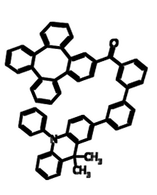 CC1(C)c2ccccc2N(c2ccccc2)c2ccc(-c3cccc(-c4cccc(C(=O)c5ccc6c(c5)-c5ccccc5-c5ccccc5-c5ccccc5-6)c4)c3)cc21